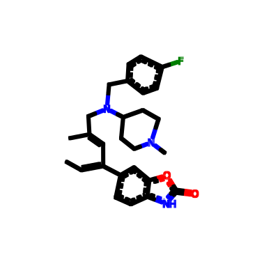 C/C=C(\C=C(/C)CN(Cc1ccc(F)cc1)C1CCN(C)CC1)c1ccc2[nH]c(=O)oc2c1